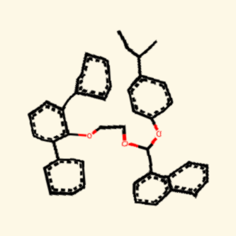 CCC(C)c1ccc(OC(OCCOc2c(-c3ccccc3)cccc2-c2ccccc2)c2cccc3ccccc23)cc1